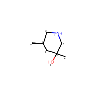 C[C@H]1CNCC(C)(O)C1